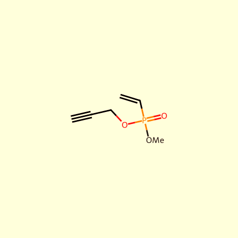 C#CCOP(=O)(C=C)OC